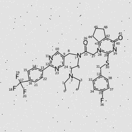 CCN(CC)CCN(Cc1cnc(-c2ccc(C(F)(F)F)cc2)nc1)C(=O)Cn1c(SCc2ccc(F)cc2)nc(=O)c2c1CCC2